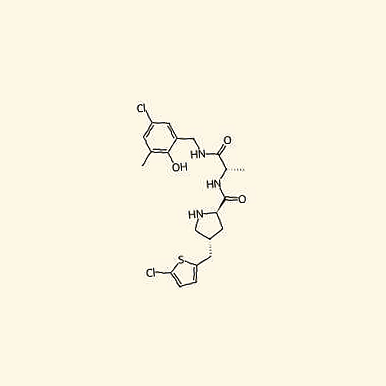 Cc1cc(Cl)cc(CNC(=O)[C@H](C)NC(=O)[C@H]2C[C@H](Cc3ccc(Cl)s3)CN2)c1O